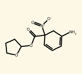 NC1=CC=CC(C(=O)OC2CCCO2)([N+](=O)[O-])C1